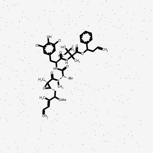 C=C/C=C(\C)C(C[C@@H]1O[C@@]1(C)C(=O)N(C)[C@H](C(=O)NC(Cc1cc(Cl)c(O)c(Cl)c1)C(=O)NC(C)(C(=O)OC(CC=C)c1ccccc1)C(C)(C)O)[C@@H](C)CC)OC